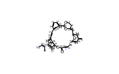 C=C1C[C@@H]2C[C@@H]3CCO[C@@H](O3)c3cccc(c3)C=C[C@H]3O[C@@H](/C(C)=C/I)[C@H](C)[C@@H](OC(=O)/C=C/C[C@@H](C1)O2)[C@H]3C